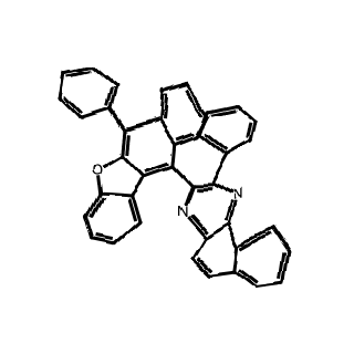 c1ccc(-c2nc3c(ccc4ccccc43)nc2-c2c3ccccc3c(-c3ccccc3)c3oc4ccccc4c23)cc1